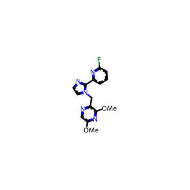 COc1cnc(Cn2ccnc2-c2cccc(F)n2)c(OC)n1